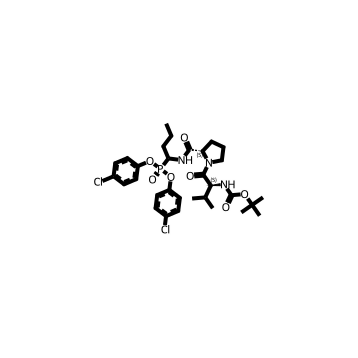 CCCC(NC(=O)[C@@H]1CCCN1C(=O)[C@@H](NC(=O)OC(C)(C)C)C(C)C)P(=O)(Oc1ccc(Cl)cc1)Oc1ccc(Cl)cc1